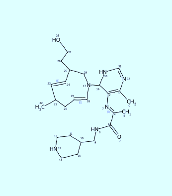 CC1=C(/N=C(\C)C(=O)NCC2CCNCC2)C(N2/C=C/CC(C)/C=C/C(CCO)C2)NC=N1